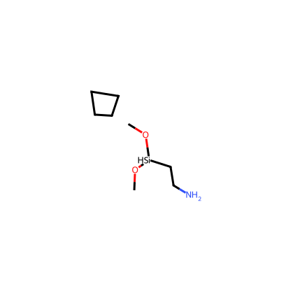 C1CCC1.CO[SiH](CCN)OC